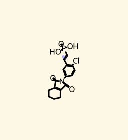 O=C1C2=C(CCCC2)C(=O)N1c1ccc(Cl)c(/C=C/P(=O)(O)O)c1